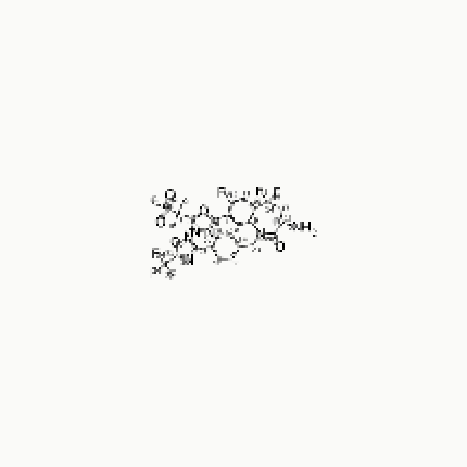 CC(C)(c1nnc(-c2cc3c(cc2F)C(F)(F)C[C@@H](N)C(=O)N3Cc2ccc(-c3noc(C(F)(F)F)n3)cc2)o1)S(C)(=O)=O